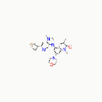 Cc1cc2c(N3CCN(C)c4cc(-c5ccsc5)ncc43)cc(N3CCOCC3)cc2n(C)c1=O